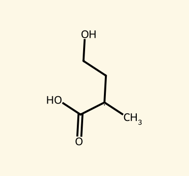 C[C](CCO)C(=O)O